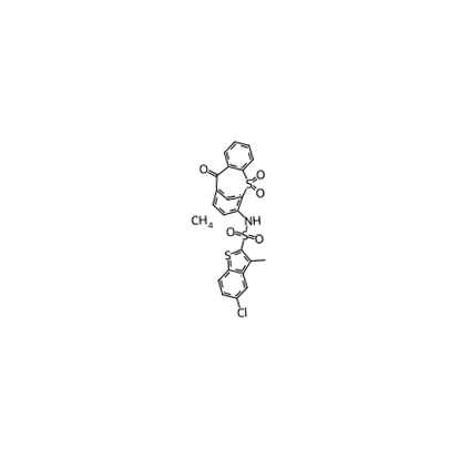 C.Cc1c(S(=O)(=O)Nc2ccc3cc2S(=O)(=O)c2ccccc2C3=O)sc2ccc(Cl)cc12